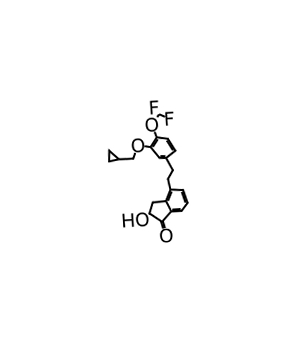 O=C1c2cccc(CCc3ccc(OC(F)F)c(OCC4CC4)c3)c2CC1O